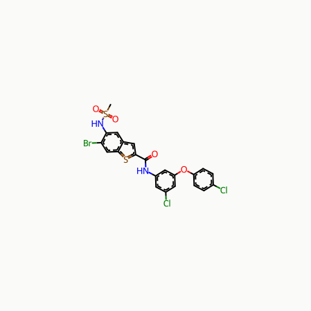 CS(=O)(=O)Nc1cc2cc(C(=O)Nc3cc(Cl)cc(Oc4ccc(Cl)cc4)c3)sc2cc1Br